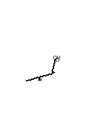 CCCCCCCCCC(CCCCCCCCC1CC1CCCCCCCC(=O)O)N(C)C